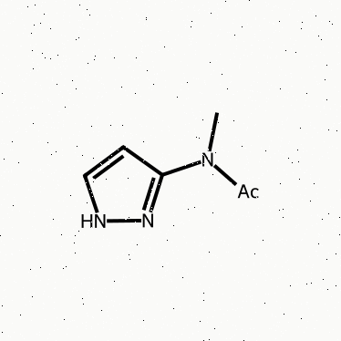 CC(=O)N(C)c1cc[nH]n1